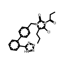 CCCc1c(Cl)n(C(=O)CC)c(=O)n1Cc1ccc(-c2ccccc2-c2nnn[nH]2)cc1